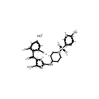 Cl.Nc1nc(NC2CCN(S(=O)(=O)c3ccc(S)nc3)CC2)sc1C(=O)c1c(F)cccc1F